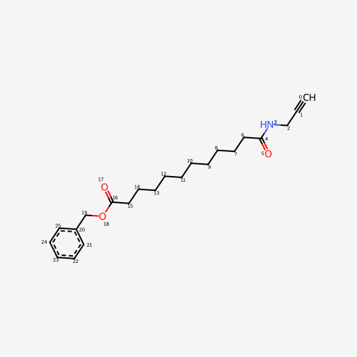 C#CCNC(=O)CCCCCCCCCCC(=O)OCc1ccccc1